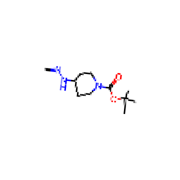 C=NNC1CCN(C(=O)OC(C)(C)C)CC1